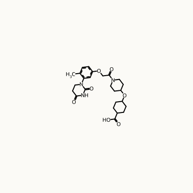 Cc1ccc(OCC(=O)N2CCC(OC3CCC(C(=O)O)CC3)CC2)cc1N1CCC(=O)NC1=O